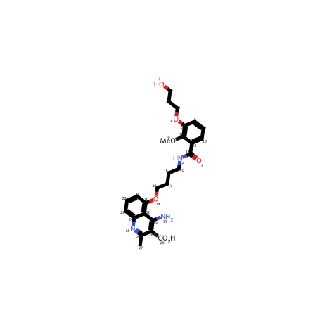 COc1c(OCCCO)cccc1C(=O)NCCCCOc1cccc2nc(C)c(C(=O)O)c(N)c12